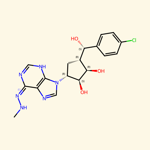 CN/N=c1/nc[nH]c2c1ncn2[C@@H]1C[C@H]([C@H](O)c2ccc(Cl)cc2)[C@@H](O)[C@H]1O